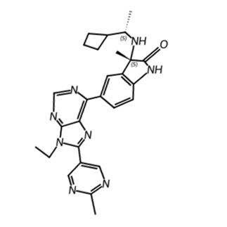 CCn1c(-c2cnc(C)nc2)nc2c(-c3ccc4c(c3)[C@](C)(N[C@@H](C)C3CCC3)C(=O)N4)ncnc21